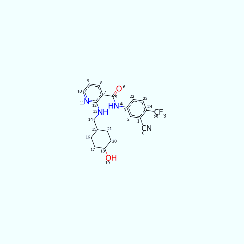 N#Cc1cc(NC(=O)c2cccnc2NCC2CCC(O)CC2)ccc1C(F)(F)F